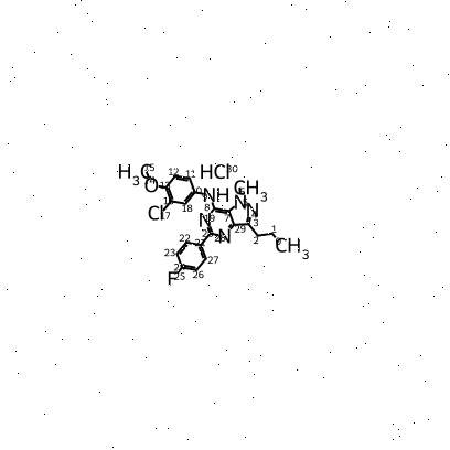 CCCc1nn(C)c2c(Nc3ccc(OC)c(Cl)c3)nc(-c3ccc(F)cc3)nc12.Cl